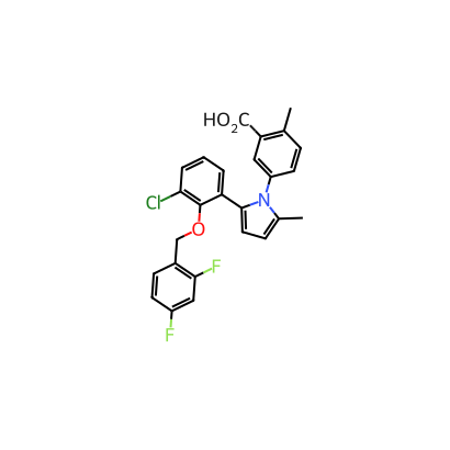 Cc1ccc(-n2c(C)ccc2-c2cccc(Cl)c2OCc2ccc(F)cc2F)cc1C(=O)O